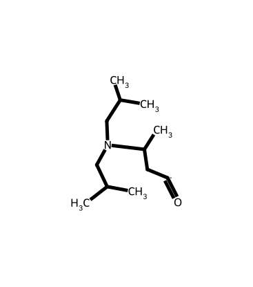 CC(C)CN(CC(C)C)C(C)C[C]=O